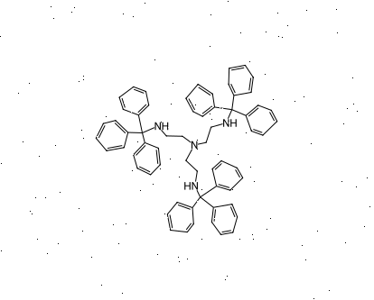 c1ccc(C(NCCN(CCNC(c2ccccc2)(c2ccccc2)c2ccccc2)CCNC(c2ccccc2)(c2ccccc2)c2ccccc2)(c2ccccc2)c2ccccc2)cc1